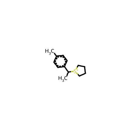 Cc1ccc(C(C)[S+]2CCCC2)cc1